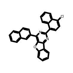 Clc1ccc(-c2nc(-c3ccc4ccccc4c3)c3oc4ccccc4c3n2)c2ccccc12